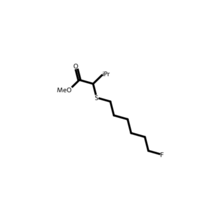 COC(=O)C(SCCCCCCF)C(C)C